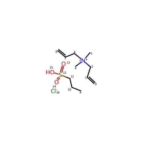 C=CC[N+](C)(C)CC=C.CCCS(=O)(=O)O.[Cl-]